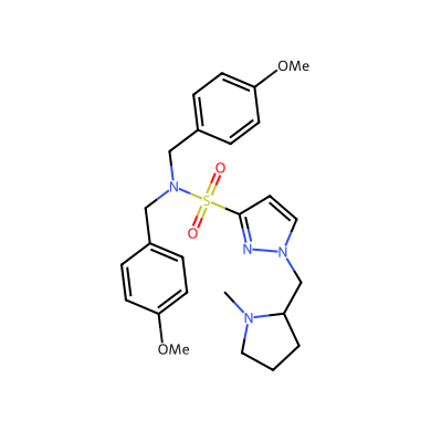 COc1ccc(CN(Cc2ccc(OC)cc2)S(=O)(=O)c2ccn(CC3CCCN3C)n2)cc1